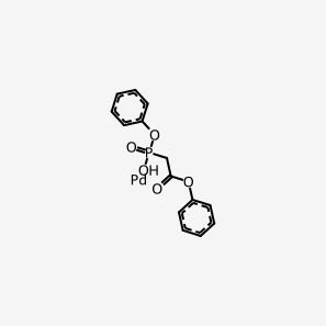 O=C(CP(=O)(O)Oc1ccccc1)Oc1ccccc1.[Pd]